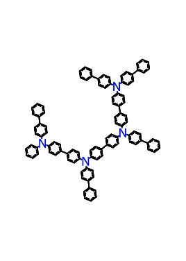 c1ccc(-c2ccc(N(c3ccccc3)c3ccc(-c4ccc(N(c5ccc(-c6ccccc6)cc5)c5ccc(-c6ccc(N(c7ccc(-c8ccccc8)cc7)c7ccc(-c8ccc(N(c9ccc(-c%10ccccc%10)cc9)c9ccc(-c%10ccccc%10)cc9)cc8)cc7)cc6)cc5)cc4)cc3)cc2)cc1